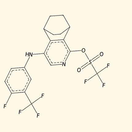 O=S(=O)(Oc1ncc(Nc2ccc(F)c(C(F)(F)F)c2)c2c1C1CCC2CC1)C(F)(F)F